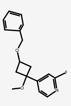 COC1(c2ccnc(F)c2)CC(OCc2ccccc2)C1